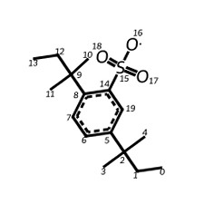 CCC(C)(C)c1ccc(C(C)(C)CC)c(S([O])(=O)=O)c1